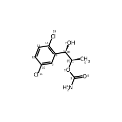 C[C@@H](OC(N)=O)[C@H](O)c1cc(Cl)ccc1Cl